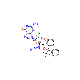 CC(C)(C)[Si](OC[C@@]1(N=[N+]=[N-])O[C@@H](n2cnc3c(=O)[nH]c(N)nc32)[C@H](F)[C@@H]1O)(c1ccccc1)c1ccccc1